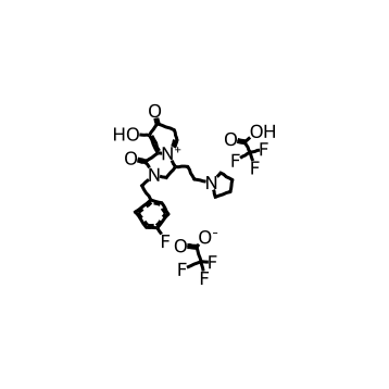 O=C(O)C(F)(F)F.O=C([O-])C(F)(F)F.O=C1CC=[N+]2C(=C1O)C(=O)N(Cc1ccc(F)cc1)CC2CCN1CCCC1